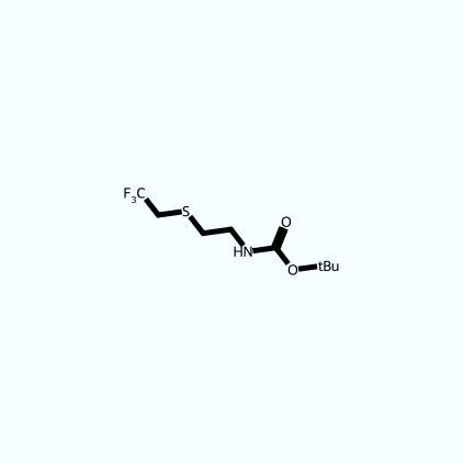 CC(C)(C)OC(=O)NCCSCC(F)(F)F